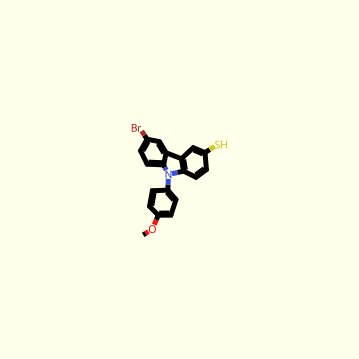 COc1ccc(-n2c3ccc(S)cc3c3cc(Br)ccc32)cc1